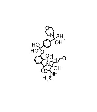 BC(O)(c1ccc(C(O)(O)Oc2cccc3c2C(O)(O)N(C(O)(CCC=O)C(=O)NC)C3=O)cc1)N1CCOCC1